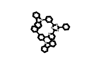 c1ccc(-c2ccc(-n3c4ccccc4c4ccccc43)c(-c3cccc(-c4nc(-c5ccccc5)nc(-c5cccc(-n6c7ccccc7c7ccccc76)c5)n4)n3)c2)cc1